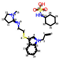 C=CCn1cc(SCCN=C2CCCN2C)c2ccccc21.O=S(=O)(O)NC1CCCCC1